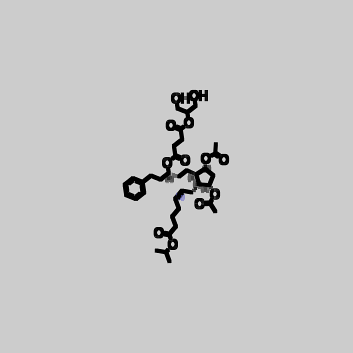 CC(=O)O[C@H]1C[C@@H](OC(C)=O)[C@H](CC[C@H](CCc2ccccc2)OC(=O)CCC(=O)OC(CO)CO)[C@H]1C/C=C\CCCC(=O)OC(C)C